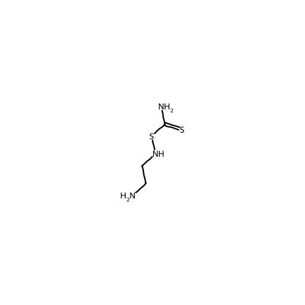 NCCNSC(N)=S